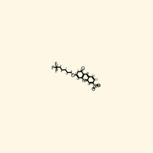 O=C1CC(OCCCCCC(F)(F)F)=Cc2nc3cc([N+](=O)[O-])ccc3cc21